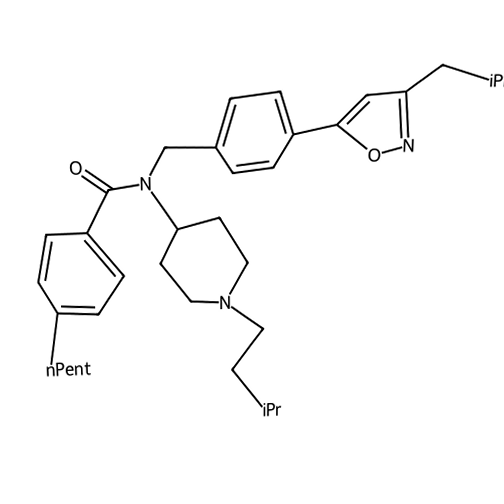 CCCCCc1ccc(C(=O)N(Cc2ccc(-c3cc(CC(C)C)no3)cc2)C2CCN(CCC(C)C)CC2)cc1